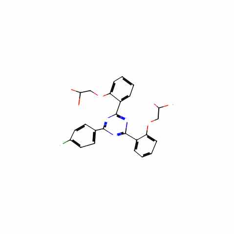 OC(O)COc1ccccc1-c1nc(-c2ccc(Br)cc2)nc(-c2ccccc2OCC(O)O)n1